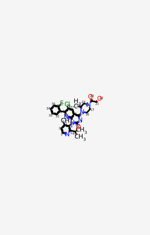 Cc1ccnc(C(C)C)c1-n1c(=O)nc(N2CCN(C(=O)C=O)C[C@@H]2C)c2cc(Cl)c(-c3ccccc3F)nc21